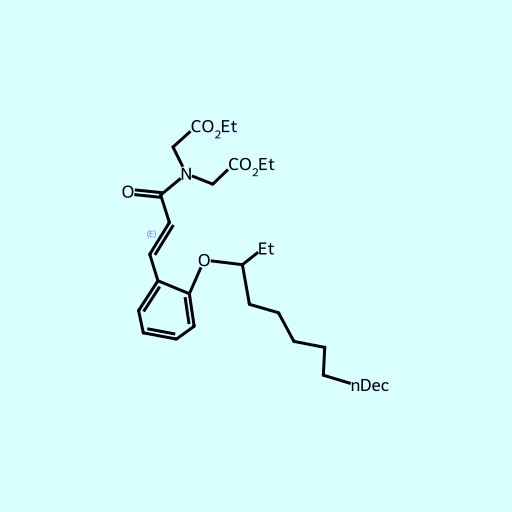 CCCCCCCCCCCCCCCC(CC)Oc1ccccc1/C=C/C(=O)N(CC(=O)OCC)CC(=O)OCC